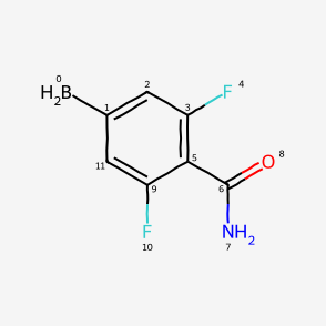 Bc1cc(F)c(C(N)=O)c(F)c1